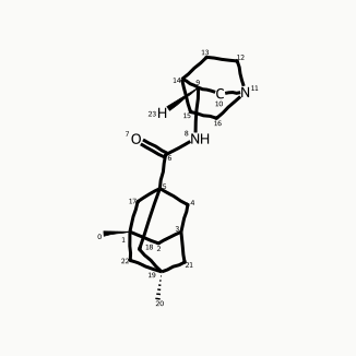 C[C@]12CC3CC(C(=O)N[C@H]4CN5CCC4CC5)(C1)C[C@@](C)(C3)C2